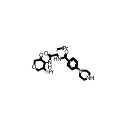 CCCC1COCC(=O)[C@H]1NC(=O)[C@H](CC(C)C)NC(=O)c1ccc(N2CCNCC2)cc1